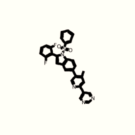 Cc1cc(-c2cncnc2)ncc1-c1ccc2c(c1)cc(-c1c(F)cccc1F)n2S(=O)(=O)c1ccccc1